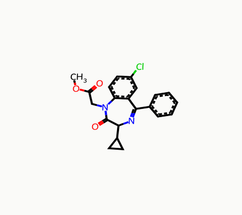 COC(=O)CN1C(=O)C(C2CC2)N=C(c2ccccc2)c2cc(Cl)ccc21